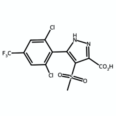 CS(=O)(=O)c1c(C(=O)O)n[nH]c1-c1c(Cl)cc(C(F)(F)F)cc1Cl